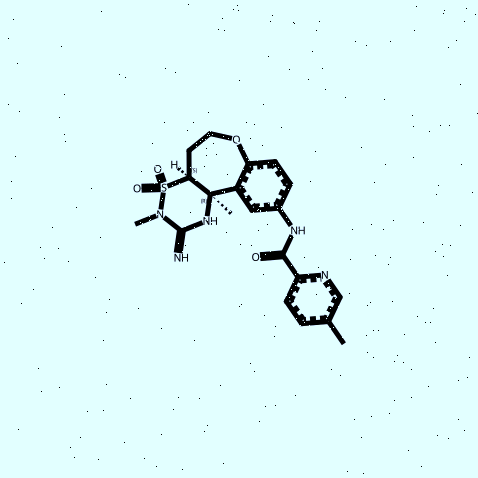 Cc1ccc(C(=O)Nc2ccc3c(c2)[C@@]2(C)NC(=N)N(C)S(=O)(=O)[C@H]2CCO3)nc1